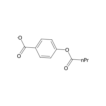 CCCC(=O)Oc1ccc(C([O])=O)cc1